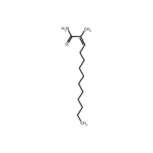 CCCCCCCCCCC=C(C)C(N)=O